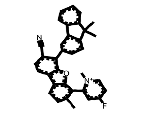 Cc1ccc2c(oc3c(-c4ccc5c(c4)-c4ccccc4C5(C)C)c(C#N)ccc32)c1-c1cc(F)cc[n+]1C